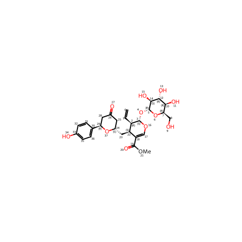 C=C[C@H]1[C@H](O[C@H]2O[C@H](CO)[C@H](O)[C@@H](O)[C@@H]2O)OC=C(C(=O)OC)[C@H]1C[C@H]1CC(=O)C[C@H](c2ccc(O)cc2)O1